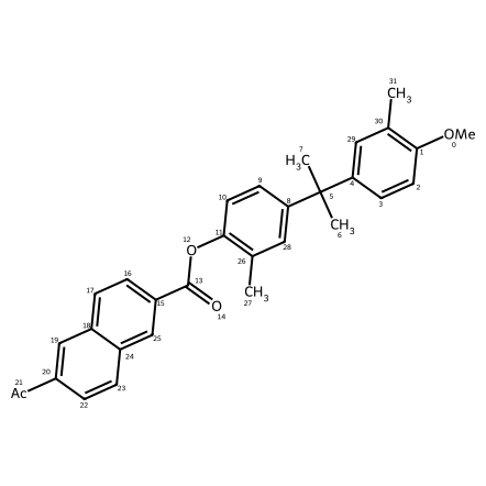 COc1ccc(C(C)(C)c2ccc(OC(=O)c3ccc4cc(C(C)=O)ccc4c3)c(C)c2)cc1C